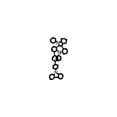 c1ccc(N2c3ccccc3-c3c(n(-c4ccccc4)c4ccccc34)-c3cccc(-c4ccc(-c5ccc(-n6c7ccccc7c7ccccc76)cc5)cc4)c32)cc1